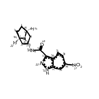 CN1[C@@H]2CC[C@H]1C[C@H](NC(=O)c1n[nH]c3cc([N+](=O)[O-])ccc13)C2